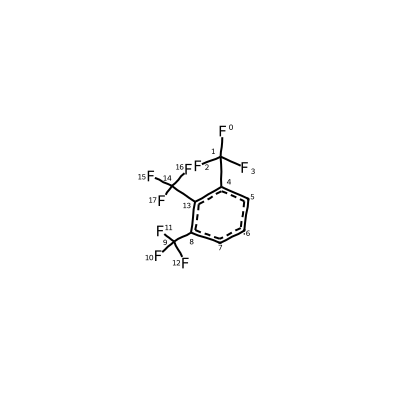 FC(F)(F)c1c[c]cc(C(F)(F)F)c1C(F)(F)F